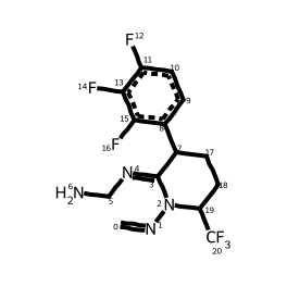 C=NN1/C(=N\CN)C(c2ccc(F)c(F)c2F)CCC1C(F)(F)F